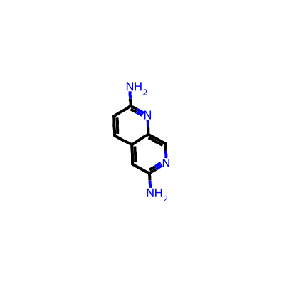 Nc1cc2ccc(N)nc2cn1